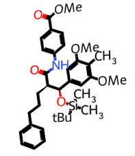 COC(=O)c1ccc(NC(=O)[C@H](CCCc2ccccc2)[C@H](O[Si](C)(C)C(C)(C)C)c2cc(OC)c(C)c(OC)c2)cc1